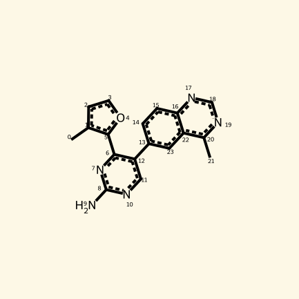 Cc1ccoc1-c1nc(N)ncc1-c1ccc2ncnc(C)c2c1